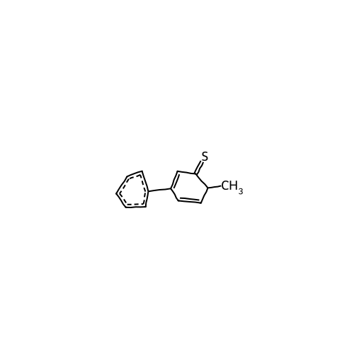 CC1C=CC(c2ccccc2)=CC1=S